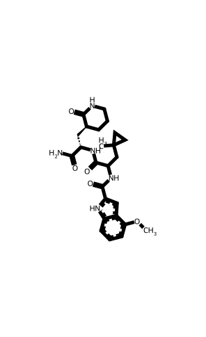 COc1cccc2[nH]c(C(=O)NC(CC3(C)CC3)C(=O)N[C@@H](C[C@@H]3CCCNC3=O)C(N)=O)cc12